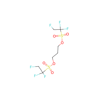 O=S(=O)(OCCCOS(=O)(=O)C(F)(F)CF)C(F)(F)CF